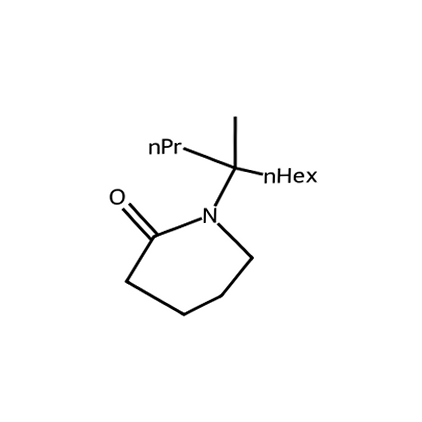 CCCCCCC(C)(CCC)N1CCCCC1=O